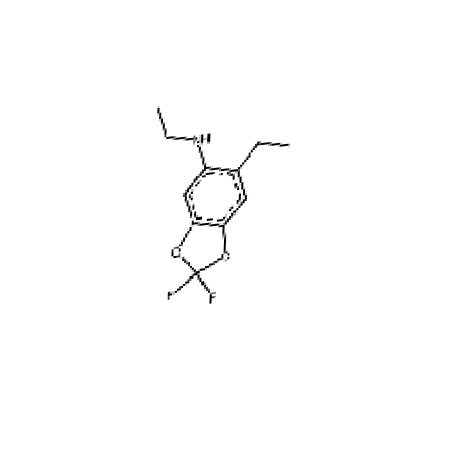 CCNc1cc2c(cc1CC)OC(F)(F)O2